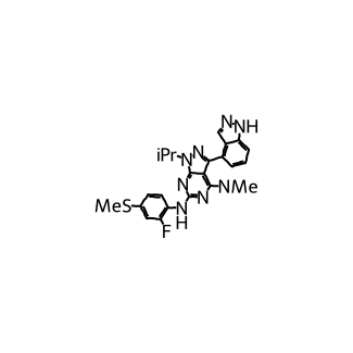 CNc1nc(Nc2ccc(SC)cc2F)nc2c1c(-c1cccc3[nH]ncc13)nn2C(C)C